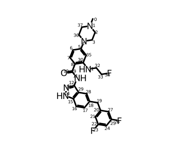 CN1CCN(c2ccc(C(=O)Nc3n[nH]c4ccc(Cc5cc(F)cc(F)c5)cc34)c(NCCF)c2)CC1